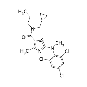 CCCN(CC1CC1)C(=O)c1sc(N(C)c2c(Cl)cc(Cl)cc2Cl)nc1C